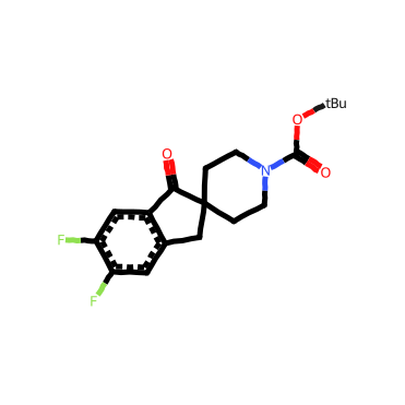 CC(C)(C)OC(=O)N1CCC2(CC1)Cc1cc(F)c(F)cc1C2=O